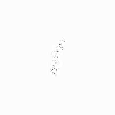 Cc1cc(C)c(C(=O)Nc2ccc(NC(=O)Nc3cc(C(C)(C)C)on3)cc2)c(C)c1